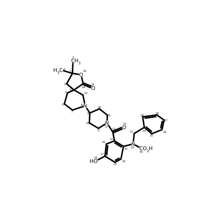 CC1(C)CC2(CCCN(C3CCN(C(=O)c4cc(O)ccc4N(Cc4ccccc4)C(=O)O)CC3)C2)C(=O)O1